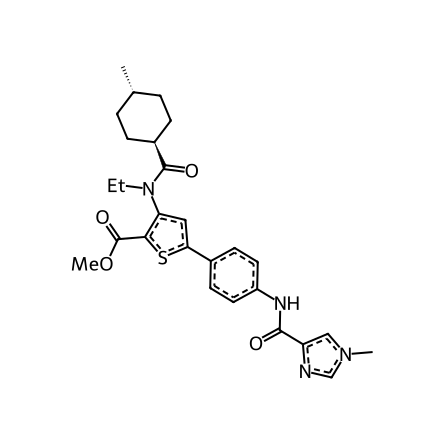 CCN(c1cc(-c2ccc(NC(=O)c3cn(C)cn3)cc2)sc1C(=O)OC)C(=O)[C@H]1CC[C@H](C)CC1